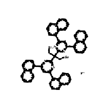 CC(C)(C)CC(CC(C)(C)C)(c1nc(-c2cccc3ccccc23)cc(-c2cccc3ccccc23)n1)c1nc(-c2cccc3ccccc23)cc(-c2cccc3ccccc23)n1.[Ir+3]